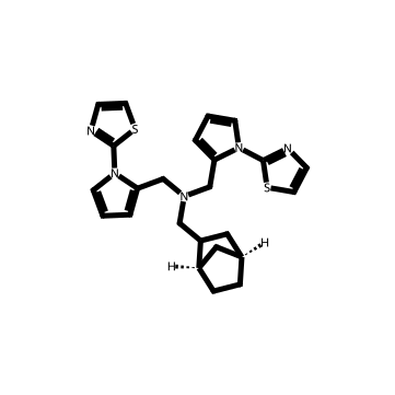 c1cc(CN(Cc2cccn2-c2nccs2)CC2C[C@H]3CC[C@@H]2C3)n(-c2nccs2)c1